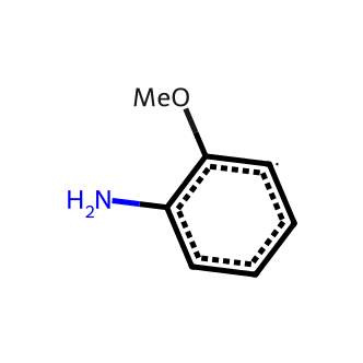 COc1[c]cccc1N